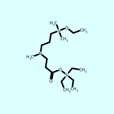 CCO[Si](C)(C)CCCN(C)CCC(=O)O[Si](CC)(CC)CC